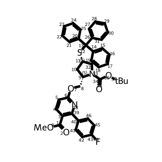 COC(=O)c1ccc(OC[C@@H]2C[C@H](SC(c3ccccc3)(c3ccccc3)c3ccccc3)CN2C(=O)OC(C)(C)C)nc1-c1ccc(F)cc1